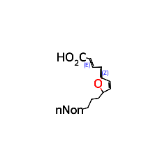 CCCCCCCCCCCCC1C=C/C(=C/C=C/C(=O)O)O1